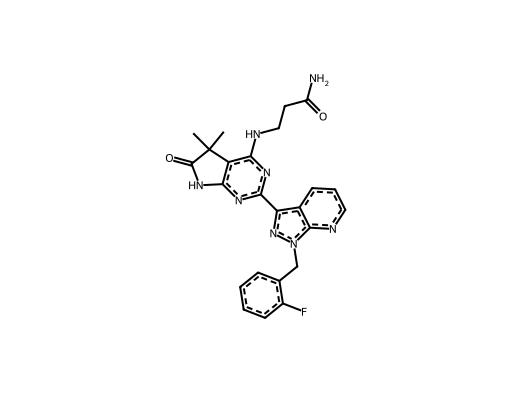 CC1(C)C(=O)Nc2nc(-c3nn(Cc4ccccc4F)c4ncccc34)nc(NCCC(N)=O)c21